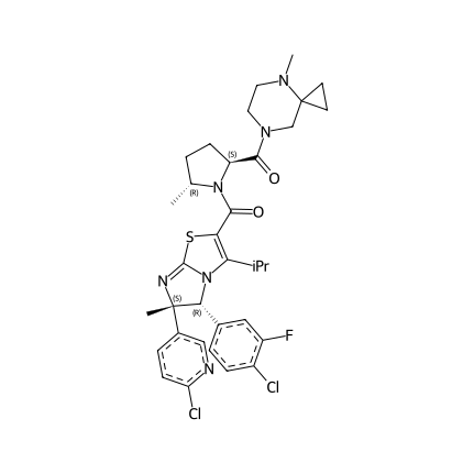 CC(C)C1=C(C(=O)N2[C@H](C)CC[C@H]2C(=O)N2CCN(C)C3(CC3)C2)SC2=N[C@@](C)(c3ccc(Cl)nc3)[C@@H](c3ccc(Cl)c(F)c3)N21